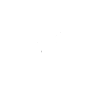 C=CCC[C@@H]1C[C@@H](CN2C(=O)c3ccccc3C2=O)N(CCCc2ccccc2)C1=O